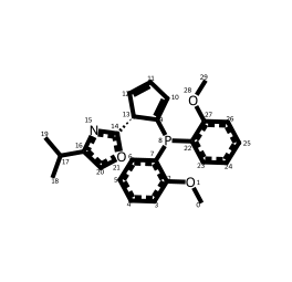 COc1ccccc1P(C1=CC=C[C@H]1c1nc(C(C)C)co1)c1ccccc1OC